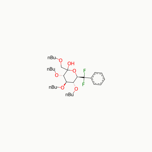 CCCCOCC1(O)O[C@@H](C(F)(F)c2ccccc2)[C@H](OCCCC)[C@@H](OCCCC)[C@@H]1OCCCC